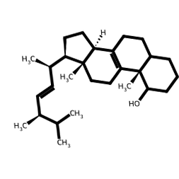 CC(C)[C@@H](C)/C=C/[C@@H](C)[C@H]1CC[C@H]2C3=C(CC[C@]12C)[C@@]1(C)C(O)CCCC1CC3